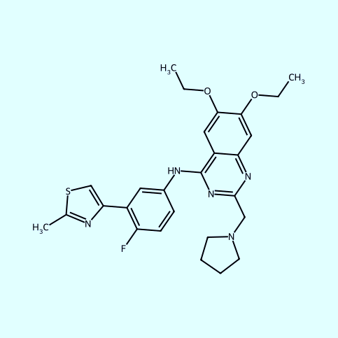 CCOc1cc2nc(CN3CCCC3)nc(Nc3ccc(F)c(-c4csc(C)n4)c3)c2cc1OCC